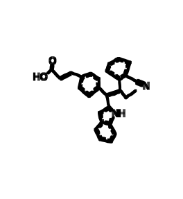 CC/C(=C(/c1ccc(/C=C/C(=O)O)cc1)c1cc2ccccc2[nH]1)c1ccccc1C#N